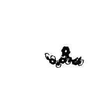 Cc1ccccc1C(CC(=O)c1ccc(=O)n(C)c1)c1ccc(C(=O)N2CCC(CC(=O)O)CC2)cc1